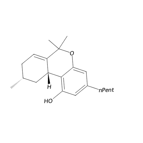 CCCCCc1cc(O)c2c(c1)OC(C)(C)C1=CC[C@@H](C)C[C@H]12